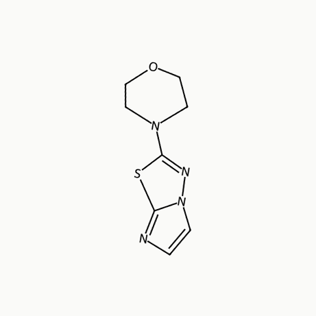 c1cn2nc(N3CCOCC3)sc2n1